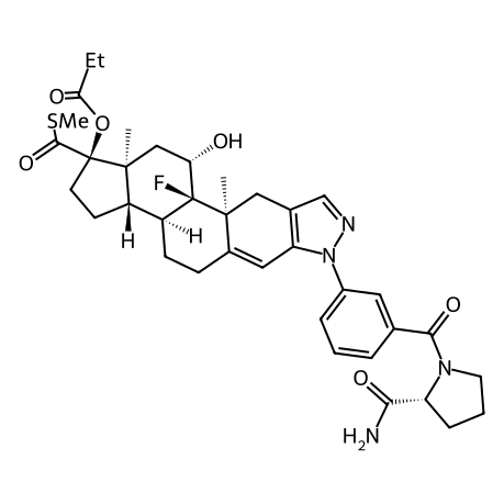 CCC(=O)O[C@]1(C(=O)SC)CC[C@H]2[C@@H]3CCC4=Cc5c(cnn5-c5cccc(C(=O)N6CCC[C@@H]6C(N)=O)c5)C[C@]4(C)[C@@]3(F)[C@@H](O)C[C@@]21C